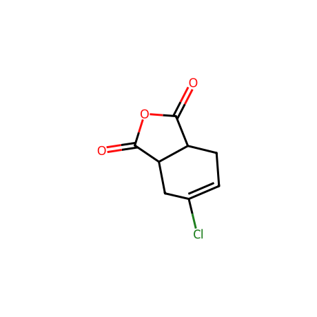 O=C1OC(=O)C2CC(Cl)=CCC12